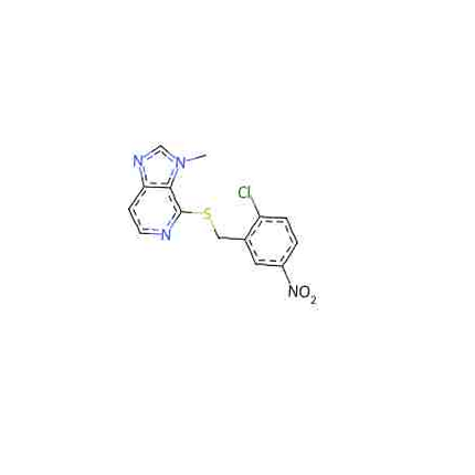 Cn1cnc2ccnc(SCc3cc([N+](=O)[O-])ccc3Cl)c21